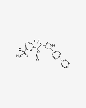 CC(c1c[nH]c(-c2ccc(-c3ccncc3)cc2)c1)C(OC=O)c1cccc(S(C)(=O)=O)c1